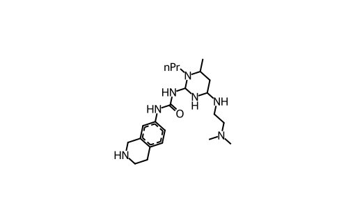 CCCN1C(C)CC(NCCN(C)C)NC1NC(=O)Nc1ccc2c(c1)CNCC2